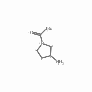 CC(C)(C)C(=O)N1CCC(N)C1